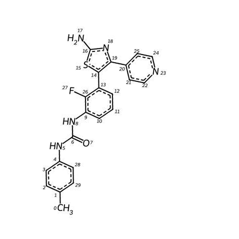 Cc1ccc(NC(=O)Nc2cccc(-c3sc(N)nc3-c3ccncc3)c2F)cc1